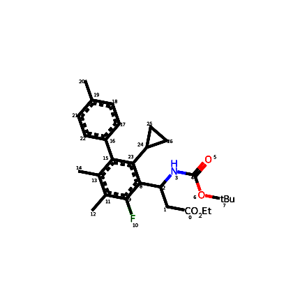 CCOC(=O)CC(NC(=O)OC(C)(C)C)c1c(F)c(C)c(C)c(-c2ccc(C)cc2)c1C1CC1